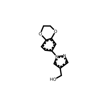 OCc1cnn(-c2ccc3c(c2)OCCO3)c1